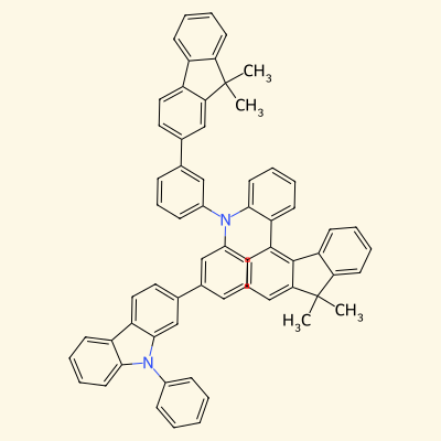 CC1(C)c2ccccc2-c2ccc(-c3cccc(N(c4cccc(-c5ccc6c7ccccc7n(-c7ccccc7)c6c5)c4)c4ccccc4-c4cccc5c4-c4ccccc4C5(C)C)c3)cc21